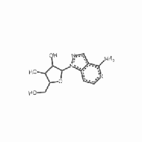 Nc1nccc2c1cnn2C1OC(CO)C(O)C1O